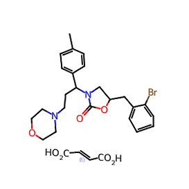 Cc1ccc(C(CCN2CCOCC2)N2CC(Cc3ccccc3Br)OC2=O)cc1.O=C(O)/C=C/C(=O)O